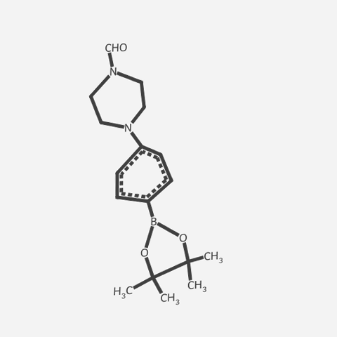 CC1(C)OB(c2ccc(N3CCN(C=O)CC3)cc2)OC1(C)C